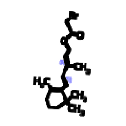 CC1=C(/C=C/C(C)=C/COC(=O)CBr)C(C)(C)CCC1